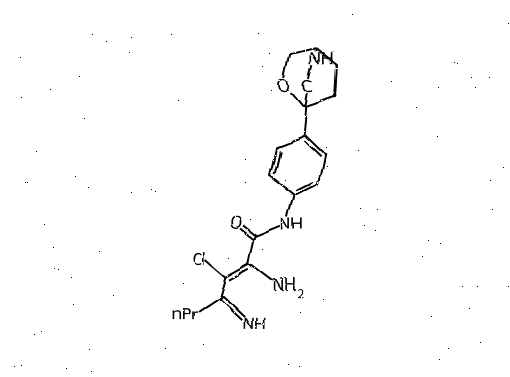 CCCC(=N)/C(Cl)=C(\N)C(=O)Nc1ccc(C23CCC(CO2)NC3)cc1